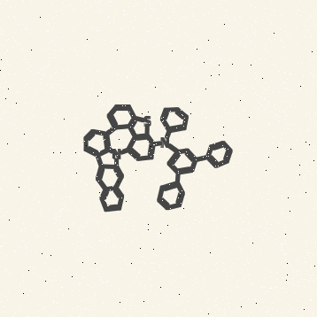 c1ccc(-c2cc(-c3ccccc3)cc(N(c3ccccc3)c3ccc4c5c3sc3cccc(c6cccc7c8cc9ccccc9cc8n4c67)c35)c2)cc1